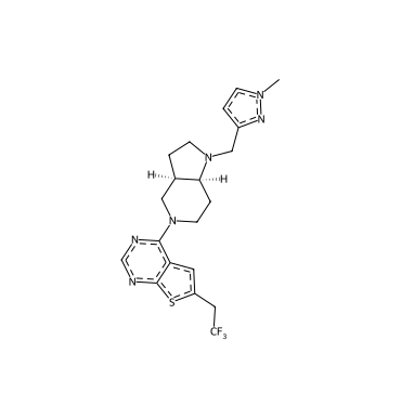 Cn1ccc(CN2CC[C@@H]3CN(c4ncnc5sc(CC(F)(F)F)cc45)CC[C@@H]32)n1